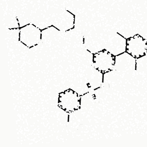 Cc1cccc(C)c1-c1cc(OC[C@@H](CC(C)(C)C)NCC2CC(C)(C)CCO2)nc(NS(=O)(=O)c2cccc(C(=O)O)c2)n1